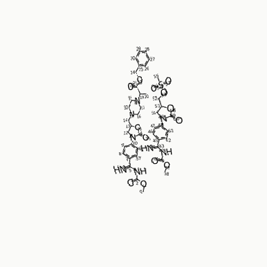 COC(=O)NC(=N)c1ccc(N2CC(CN3CCN(C(C)C(=O)OCc4ccccc4)CC3)OC2=O)cc1.COC(=O)NC(=N)c1ccc(N2CC(COS(C)(=O)=O)OC2=O)cc1